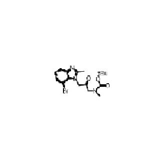 Cc1nc2cccc(Br)c2n1CC(=O)CN(C)C(=O)OC(C)(C)C